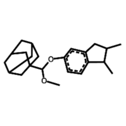 COC(Oc1ccc2c(c1)CC(C)C2C)C12CC3CC(CC(C3)C1)C2